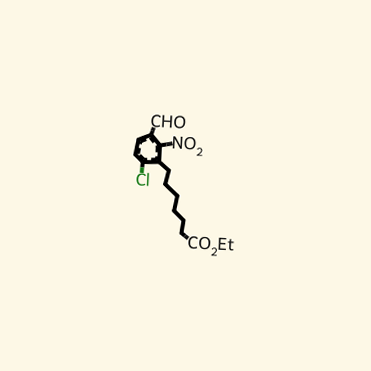 CCOC(=O)CCCCCCc1c(Cl)ccc(C=O)c1[N+](=O)[O-]